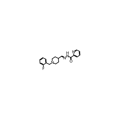 O=C(NN=CC1CCN(Cc2ccccc2F)CC1)c1ccccn1